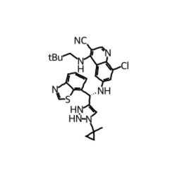 CC(C)(C)CNc1c(C#N)cnc2c(Cl)cc(N[C@H](C3=CN(C4(C)CC4)NN3)c3cccc4ncsc34)cc12